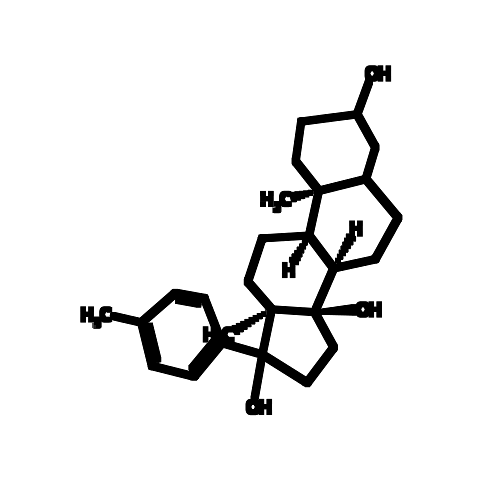 Cc1ccc(C2(O)CC[C@@]3(O)[C@@H]4CCC5CC(O)CC[C@]5(C)[C@@H]4CC[C@]23C)cc1